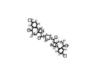 CN1Cc2c(C(=O)N3CCN(C(=O)c4ncn5c4CN(C)C(=O)c4cc(Cl)ccc4-5)CC3)ncn2-c2ccc(Cl)cc2C1=O